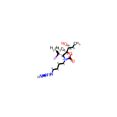 C=C(I)[C@H]1N(CCCCN=[N+]=[N-])C(=O)O[C@]1(C)[C@H](O)CC